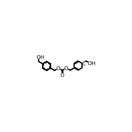 O=C(OCC1=CC[C@H](CO)C=C1)OCc1ccc(CO)cc1